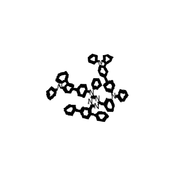 c1ccc(-c2ccc(-c3ccccc3)c(-c3nc(-c4cccc(N(c5ccccc5)c5ccc(-c6ccc7c(c6)c6ccccc6n7-c6ccccc6)cc5)c4)nc(N(c4ccccc4)c4ccc(-c5ccc6c(c5)c5ccccc5n6-c5ccccc5)cc4)n3)c2)cc1